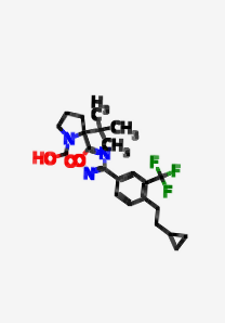 CC(C)(C)C1(c2nc(-c3ccc(CCC4CC4)c(C(F)(F)F)c3)no2)CCCN1C(=O)O